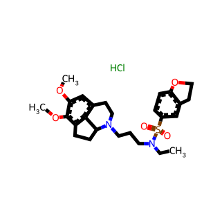 CCN(CCCN1CCc2cc(OC)c(OC)c3c2C1CC3)S(=O)(=O)c1ccc2c(c1)CCO2.Cl